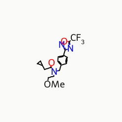 COCCN(Cc1ccc(-c2noc(C(F)(F)F)n2)cc1)C(=O)CC1CC1